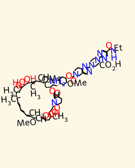 CCNC(=O)c1cnc(N2CCN(c3ncc4c(n3)CCN(C(=O)O[C@@H]3CC[C@@H](C[C@@H](N)[C@@H]5C[C@@H](OC)[C@H](C)/C=C(\C)[C@@H](O)[C@@H](O)C(=O)[C@H](C)C[C@H](C)/C=C/C=C/C=C(\C)[C@@H](OC)C[C@@H]6CC[C@@H](C)[C@@](O)(O6)C(=O)C(=O)N6CCCC[C@H]6C(=O)O5)C[C@H]3OC)C4)C[C@@H]2C(=O)O)nc1